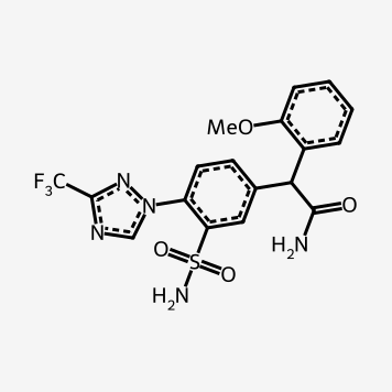 COc1ccccc1C(C(N)=O)c1ccc(-n2cnc(C(F)(F)F)n2)c(S(N)(=O)=O)c1